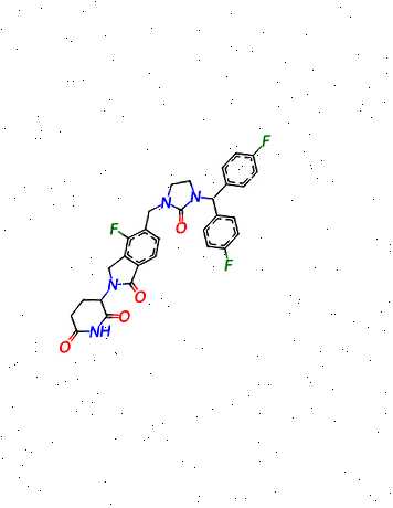 O=C1CCC(N2Cc3c(ccc(CN4CCN(C(c5ccc(F)cc5)c5ccc(F)cc5)C4=O)c3F)C2=O)C(=O)N1